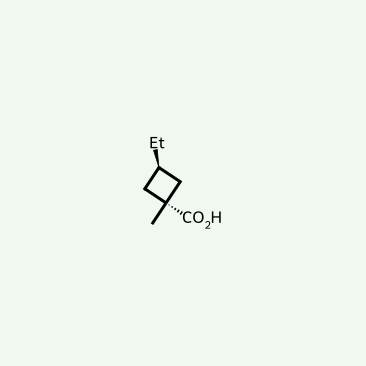 CC[C@H]1C[C@](C)(C(=O)O)C1